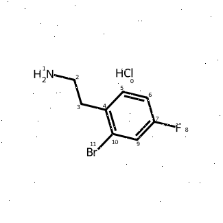 Cl.NCCc1ccc(F)cc1Br